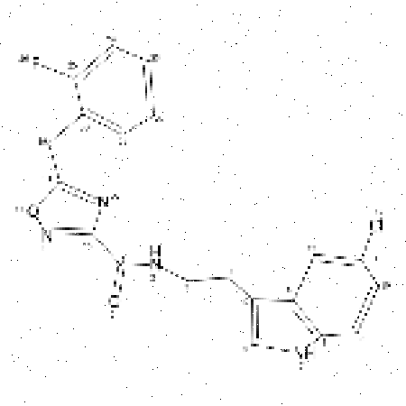 O=C(NCCc1c[nH]c2ccc(Cl)cc12)c1noc(Cc2ccccc2F)n1